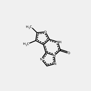 Cc1oc2[nH]c(=O)n3ncnc3c2c1C